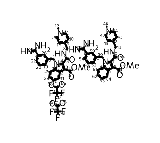 COC(=O)c1c(C(=O)NCc2cc[n+](C)cc2)n(Cc2cccc(C(=N)N)c2)c2ccccc12.COC(=O)c1c(C(=O)NCc2cc[n+](C)cc2)n(Cc2cccc(C(=N)N)c2)c2ccccc12.O=C([O-])C(F)(F)F.O=C([O-])C(F)(F)F